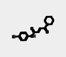 O=C(C=CC(=O)N1CCCCC1)Nc1ccc(Cl)cc1